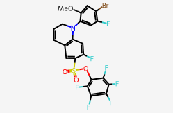 COc1cc(Br)c(F)cc1N1CC=Cc2cc(S(=O)(=O)Oc3c(F)c(F)c(F)c(F)c3F)c(F)cc21